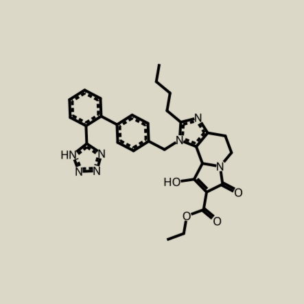 CCCCc1nc2c(n1Cc1ccc(-c3ccccc3-c3nnn[nH]3)cc1)C1C(O)=C(C(=O)OCC)C(=O)N1CC2